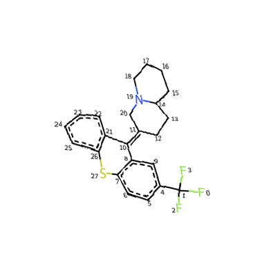 FC(F)(F)c1ccc2c(c1)C(=C1CCC3CCCCN3C1)c1ccccc1S2